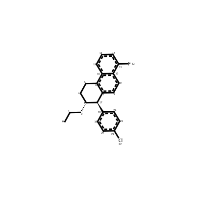 CCC[C@@H]1CCc2c(ccc3c(F)cccc23)[C@H]1c1ccc(Cl)cc1